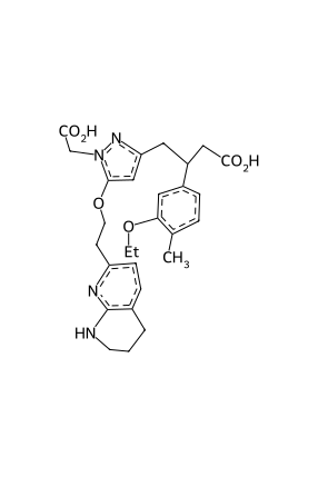 CCOc1cc(C(CC(=O)O)Cc2cc(OCCc3ccc4c(n3)NCCC4)n(CC(=O)O)n2)ccc1C